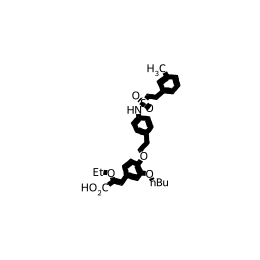 CCCCOc1cc(/C=C(\OCC)C(=O)O)ccc1OCCc1ccc(NS(=O)(=O)CCc2cccc(C)c2)cc1